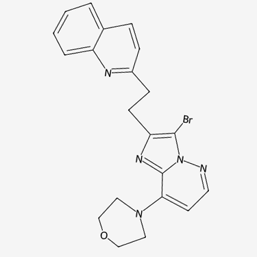 Brc1c(CCc2ccc3ccccc3n2)nc2c(N3CCOCC3)ccnn12